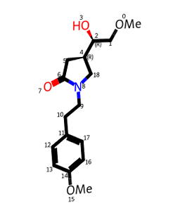 COC[C@H](O)[C@@H]1CC(=O)N(CCc2ccc(OC)cc2)C1